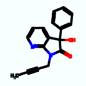 CC#CCN1C(=O)C(O)(c2ccccc2)c2cccnc21